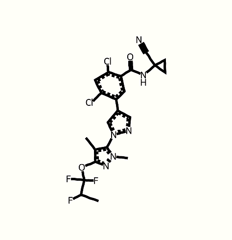 Cc1c(OC(F)(F)C(C)F)nn(C)c1-n1cc(-c2cc(C(=O)NC3(C#N)CC3)c(Cl)cc2Cl)cn1